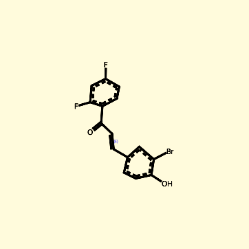 O=C(/C=C/c1ccc(O)c(Br)c1)c1ccc(F)cc1F